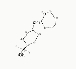 CC(C)(O)[C@H]1CC[C@H](OC2CCCCO2)CC1